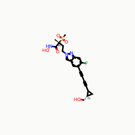 C[C@@](CCn1cc2cc(C#CC#CC3C[C@@H]3CO)c(F)cc2n1)(C(=O)NO)S(C)(=O)=O